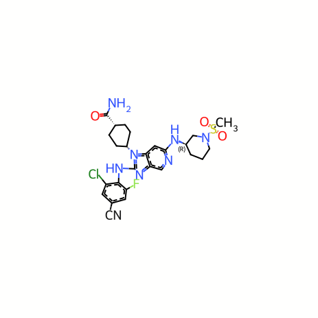 CS(=O)(=O)N1CCC[C@@H](Nc2cc3c(cn2)nc(Nc2c(F)cc(C#N)cc2Cl)n3[C@H]2CC[C@@H](C(N)=O)CC2)C1